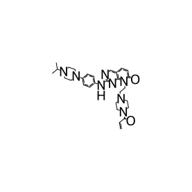 C=CC(=O)N1CCN(CCn2c(=O)ccc3cnc(Nc4ccc(N5CCN(C(C)C)CC5)cc4)nc32)CC1